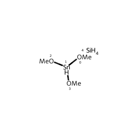 C[O][SnH]([O]C)[O]C.[SiH4]